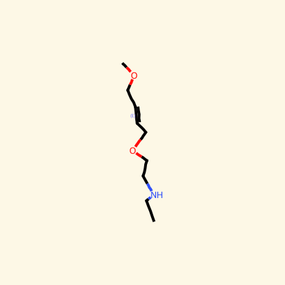 CCNCCOC/C=C/COC